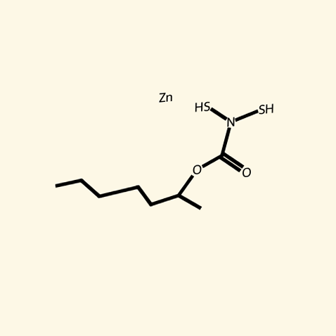 CCCCCC(C)OC(=O)N(S)S.[Zn]